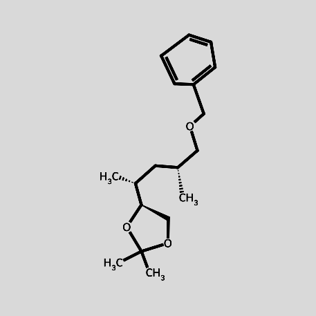 C[C@@H](COCc1ccccc1)C[C@@H](C)[C@H]1COC(C)(C)O1